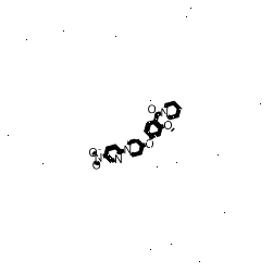 COc1cc(OC2CCN(c3ccc([N+](=O)[O-])cn3)CC2)ccc1C(=O)N1CC[CH]CC1